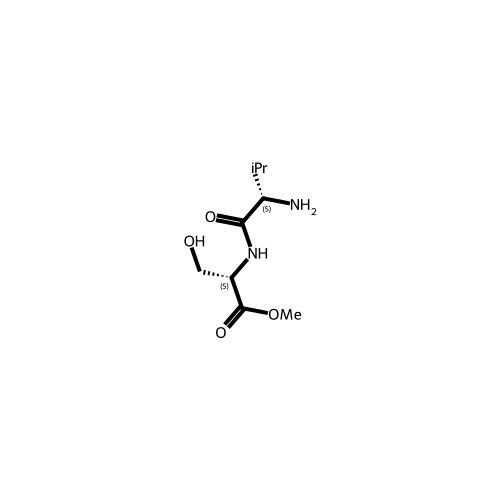 COC(=O)[C@H](CO)NC(=O)[C@@H](N)C(C)C